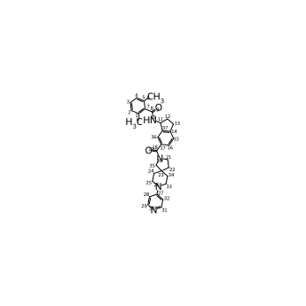 Cc1cccc(C)c1C(=O)NC1CCc2ccc(C(=O)N3CCC4(CCN(c5ccncc5)CC4)C3)cc21